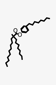 CCCCCCCCCCC(C)(CCCCCCCC)C(=O)Oc1ccc(CCCCCCCC)cc1